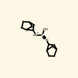 OP(#[N+]C1CC2CCC1C2)NC1CC2CCC1C2